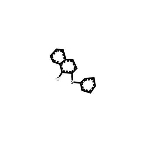 [O]c1c(Sc2ccccc2)ccc2ccccc12